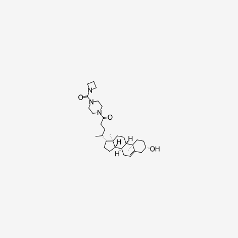 CC(CCC(=O)N1CCN(C(=O)N2CCC2)CC1)[C@H]1CC[C@H]2[C@@H]3CC=C4C[C@@H](O)CC[C@]4(C)[C@H]3CC[C@]12C